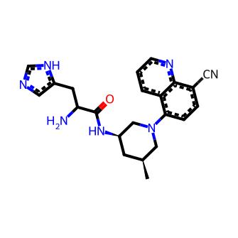 C[C@H]1C[C@@H](NC(=O)C(N)Cc2cnc[nH]2)CN(c2ccc(C#N)c3ncccc23)C1